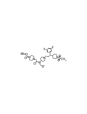 CC(C)(C)OC(=O)N1CCN(CC(=O)N(CC2CC2)C2CCN(CC[C@@H](c3cc(F)cc(F)c3)C3CCN(S(C)(=O)=O)CC3)CC2)CC1